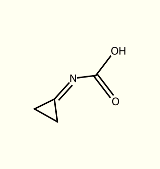 O=C(O)N=C1CC1